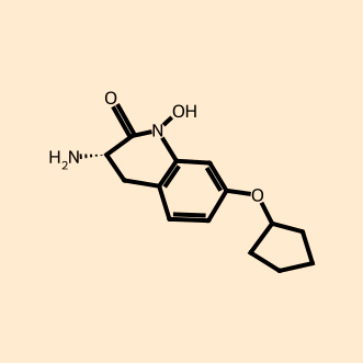 N[C@H]1Cc2ccc(OC3CCCC3)cc2N(O)C1=O